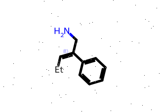 CC/C=C(/CN)c1ccccc1